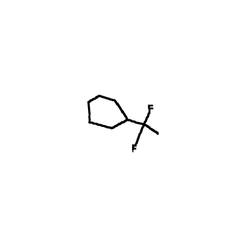 CC(F)(F)C1CCCCC1